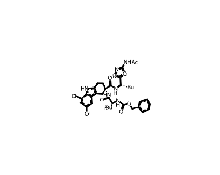 CCC(C)[C@H](NC(=O)OCc1ccccc1)C(=O)N[C@@]1(C(=O)N[C@H](c2nnc(NC(C)=O)o2)C(C)CC)CCc2[nH]c3c(Cl)cc(Cl)cc3c2C1